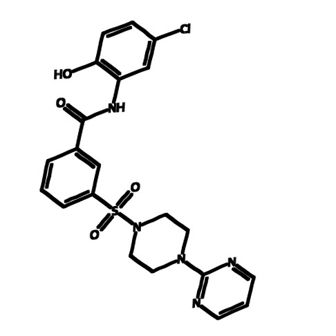 O=C(Nc1cc(Cl)ccc1O)c1cccc(S(=O)(=O)N2CCN(c3ncccn3)CC2)c1